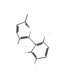 COc1ccc(Cl)c(F)c1-c1nc(C)ccc1C(=O)O